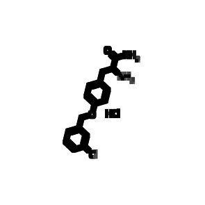 Cl.NC(=O)C(N)Cc1ccc(OCc2cccc(Cl)c2)cc1